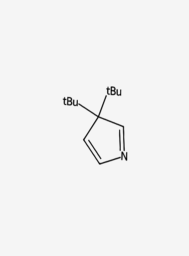 CC(C)(C)C1(C(C)(C)C)C=CN=C1